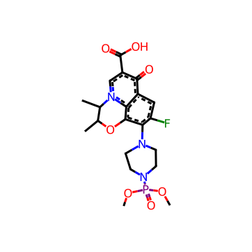 COP(=O)(OC)N1CCN(c2c(F)cc3c(=O)c(C(=O)O)cn4c3c2OC(C)C4C)CC1